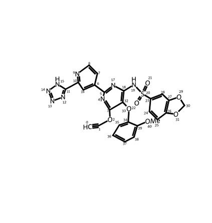 C#COc1nc(-c2ccnc(-c3nnn[nH]3)c2)nc(NS(=O)(=O)c2ccc3c(c2)OCO3)c1Oc1ccccc1OC